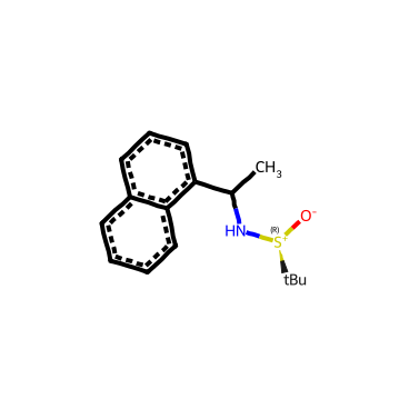 CC(N[S@@+]([O-])C(C)(C)C)c1cccc2ccccc12